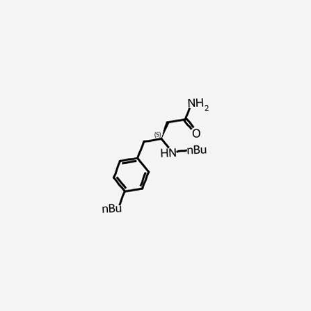 CCCCN[C@H](CC(N)=O)Cc1ccc(CCCC)cc1